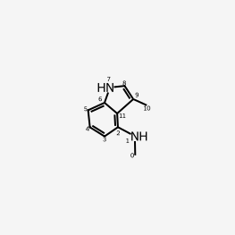 CNc1cccc2[nH]cc(C)c12